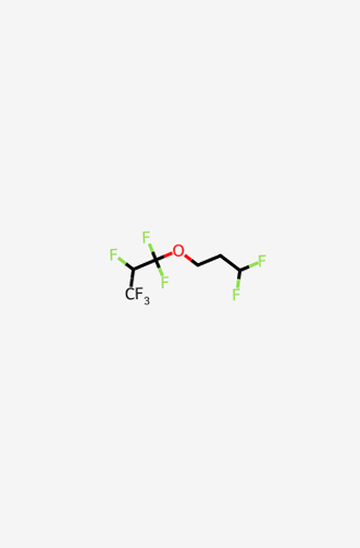 FC(F)CCOC(F)(F)C(F)C(F)(F)F